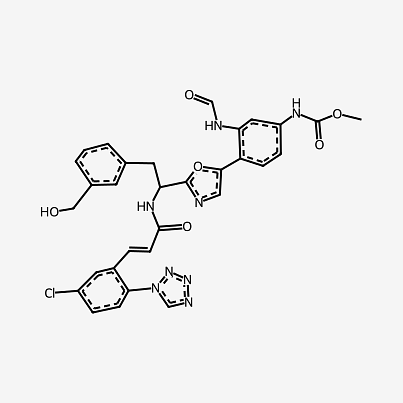 COC(=O)Nc1ccc(-c2cnc(C(Cc3cccc(CO)c3)NC(=O)/C=C/c3cc(Cl)ccc3-n3cnnn3)o2)c(NC=O)c1